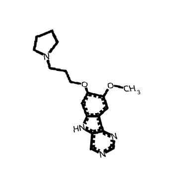 COc1cc2c(cc1OCCCN1CCCC1)[nH]c1cncnc12